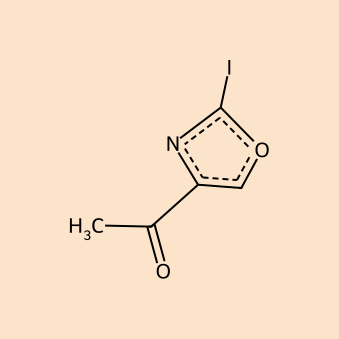 CC(=O)c1coc(I)n1